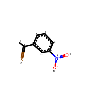 CC(=S)c1cccc([N+](=O)[O-])c1